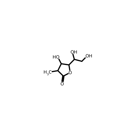 CC1C(=O)OC(C(O)CO)C1O